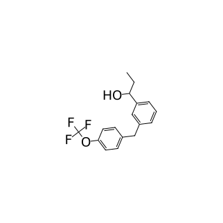 CCC(O)c1cccc(Cc2ccc(OC(F)(F)F)cc2)c1